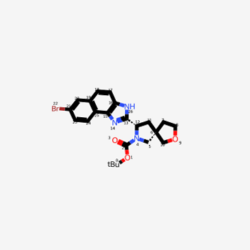 CC(C)(C)OC(=O)N1C[C@@]2(CCOC2)C[C@H]1c1nc2c(ccc3cc(Br)ccc32)[nH]1